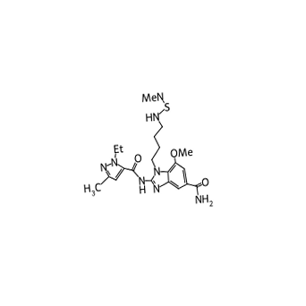 CCn1nc(C)cc1C(=O)Nc1nc2cc(C(N)=O)cc(OC)c2n1CCCCNSNC